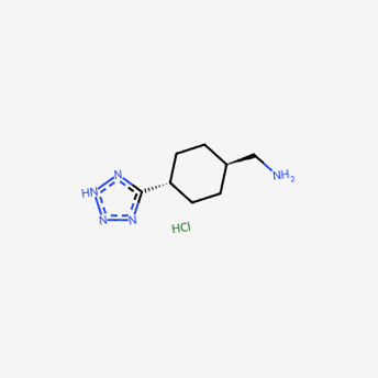 Cl.NC[C@H]1CC[C@H](c2nn[nH]n2)CC1